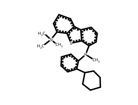 CN(c1ccccc1C1CCCCC1)c1cccc2c1sc1c([Si](C)(C)C)cccc12